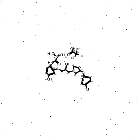 Cc1ccc(NC(=O)N(C)C)c(OCC(O)CN2CCC(Oc3ccc(Cl)cc3)C2)c1.O=C(O)C(F)(F)F